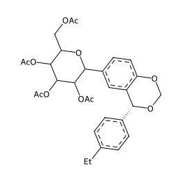 CCc1ccc([C@H]2OCOc3ccc(C4OC(COC(C)=O)C(OC(C)=O)C(OC(C)=O)C4OC(C)=O)cc32)cc1